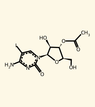 CC(=O)O[C@H]1[C@H](O)[C@H](n2cc(I)c(N)nc2=O)O[C@@H]1CO